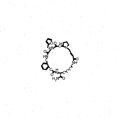 NC(=O)[C@@H]1CCCCNC(=O)/C=C/CN2CCC[C@H]2CC(=O)N[C@@H](Cc2ccco2)C(=O)NCc2ccccc2CC(=O)N1